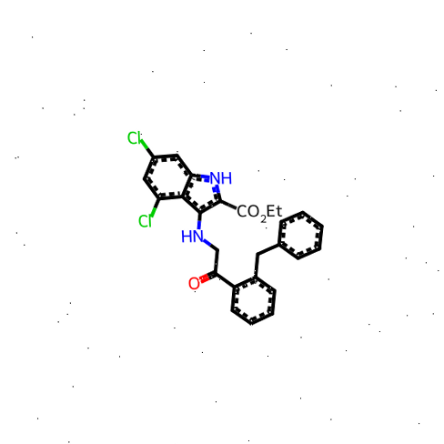 CCOC(=O)c1[nH]c2cc(Cl)cc(Cl)c2c1NCC(=O)c1ccccc1Cc1ccccc1